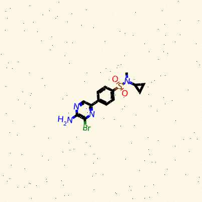 CN(C1CC1)S(=O)(=O)c1ccc(-c2cnc(N)c(Br)n2)cc1